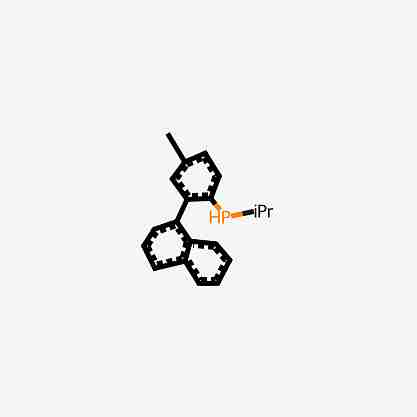 Cc1ccc(PC(C)C)c(-c2cccc3ccccc23)c1